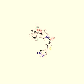 O=C(c1csc(-c2cn[nH]c2)c1)N1CCC(O)(c2c(F)cccc2F)CC1